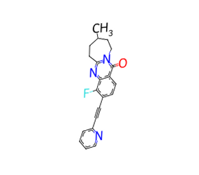 CC1CCc2nc3c(F)c(C#Cc4ccccn4)ccc3c(=O)n2CC1